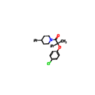 CC(C)C1CCN(C(=O)C(C)(Oc2ccc(Cl)cc2)C(C)C)CC1